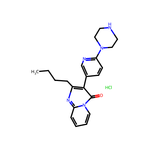 CCCCc1nc2ccccn2c(=O)c1-c1ccc(N2CCNCC2)nc1.Cl